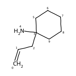 C=CCC1(N)CCCCC1